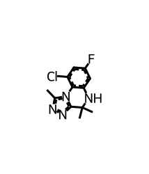 Cc1nnc2n1-c1c(Cl)cc(F)cc1NC2(C)C